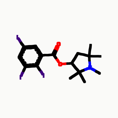 CN1C(C)(C)CC(OC(=O)c2cc(I)cc(I)c2I)C1(C)C